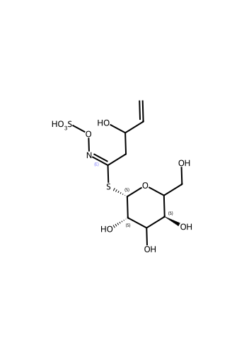 C=CC(O)C/C(=N\OS(=O)(=O)O)S[C@@H]1OC(CO)[C@@H](O)C(O)[C@@H]1O